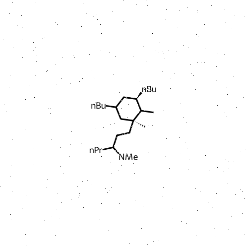 CCCCC1C[C@@H](CCCC)C(C)[C@@](C)(CCC(CCC)NC)C1